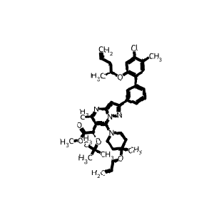 C=CCOC1(C)CCN(c2c([C@H](OC(C)(C)C)C(=O)OC)c(C)nc3cc(-c4cccc(-c5cc(C)c(Cl)cc5O[C@@H](C)CC=C)c4)nn23)CC1